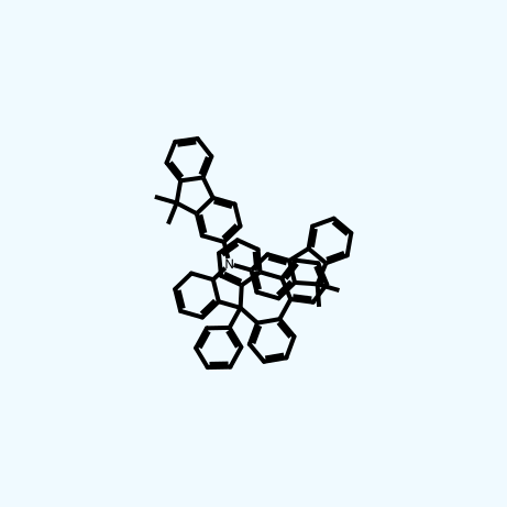 CC1(C)c2ccccc2-c2cc(N(c3ccc4c(c3)C(C)(C)c3ccccc3-4)C3CC=CC=C3C3(c4ccccc4)c4ccccc4-c4ccccc4-c4ccccc43)ccc21